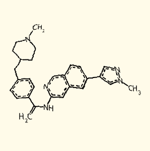 C=C(Nc1cc2cc(-c3cnn(C)c3)ccc2cn1)c1ccc(CC2CCN(C)CC2)cc1